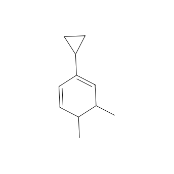 CC1C=CC(C2CC2)=CC1C